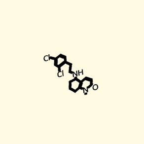 Cn1c2c(ccc1=O)C(NCCc1ccc(Cl)cc1Cl)CCC2